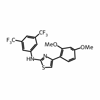 COc1ccc(-c2csc(Nc3cc(C(F)(F)F)cc(C(F)(F)F)c3)n2)c(OC)c1